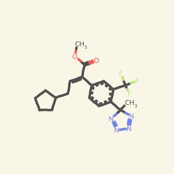 COC(=O)/C(=C/CC1CCCC1)c1ccc(C2(C)N=NN=N2)c(C(F)(F)F)c1